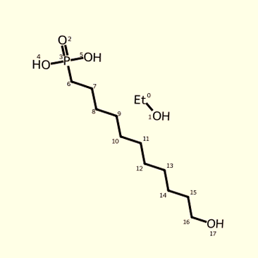 CCO.O=P(O)(O)CCCCCCCCCCCO